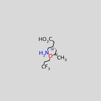 C[C@@H](C[C@H](CN)CC(=O)O)OCCC(F)(F)F